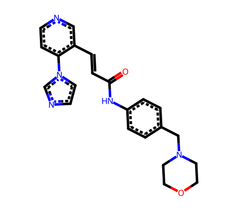 O=C(C=Cc1cnccc1-n1ccnc1)Nc1ccc(CN2CCOCC2)cc1